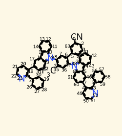 N#Cc1cccc(-c2cc(-n3c4ccccc4c4cc(-c5cccnc5-c5ccccc5)ccc43)c(C(F)(F)F)cc2-n2c3ccccc3c3cc(-c4cccnc4-c4ccccc4)ccc32)c1